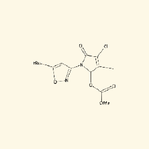 COC(=O)OC1C(C)=C(Cl)C(=O)N1c1cc(C(C)(C)C)on1